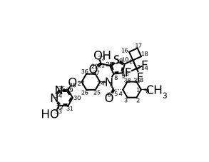 C[C@H]1CC[C@H](C(=O)N(c2cc(C3(C(F)(F)F)CCC3)sc2C(=O)O)[C@H]2CC[C@H](Oc3ccc(O)nn3)CC2)CC1